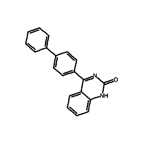 O=c1nc(-c2ccc(-c3ccccc3)cc2)c2ccccc2[nH]1